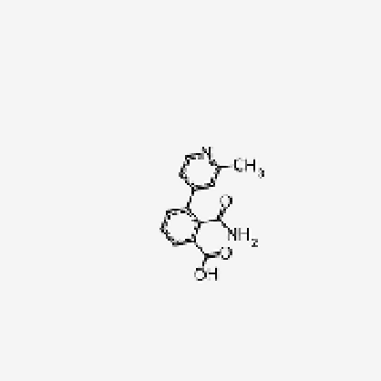 Cc1cc(-c2cccc(C(=O)O)c2C(N)=O)ccn1